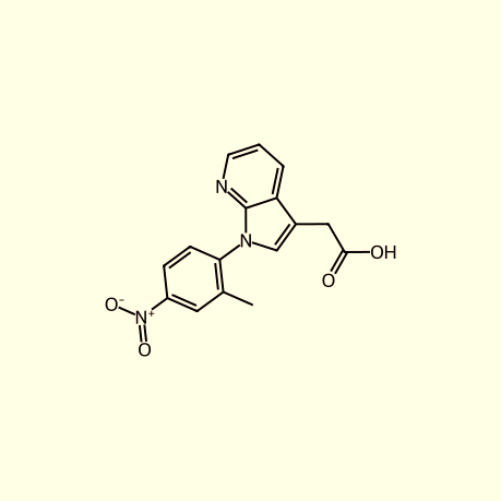 Cc1cc([N+](=O)[O-])ccc1-n1cc(CC(=O)O)c2cccnc21